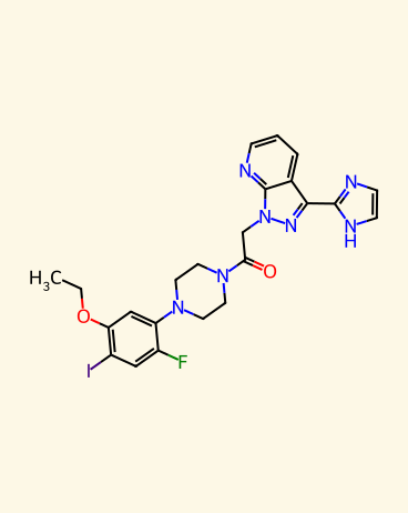 CCOc1cc(N2CCN(C(=O)Cn3nc(-c4ncc[nH]4)c4cccnc43)CC2)c(F)cc1I